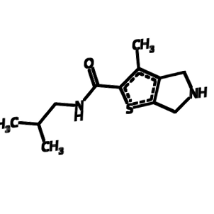 Cc1c(C(=O)NCC(C)C)sc2c1CNC2